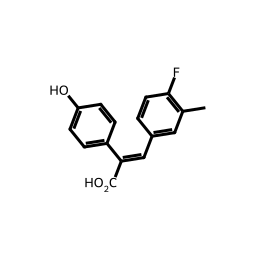 Cc1cc(/C=C(/C(=O)O)c2ccc(O)cc2)ccc1F